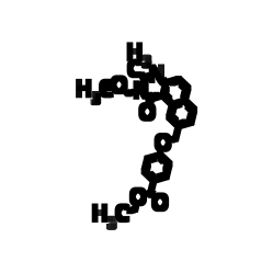 CCOC(=O)c1ccc(OCc2ccc3ccc4nc(C)n(COC)c(=O)c4c3c2)cc1